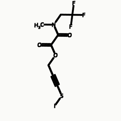 CN(CC(F)(F)F)C(=O)C(=O)OCC#CSI